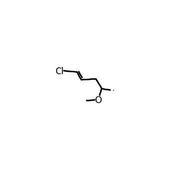 [CH2]C(CC=CCl)OC